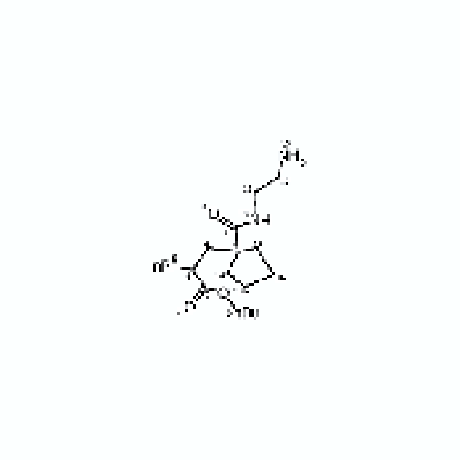 CCCCOC(=O)C(CCC)CC1(C(=O)NCCN)CCCC1